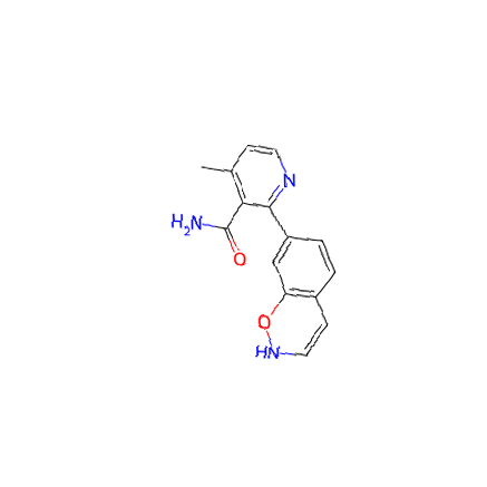 Cc1ccnc(-c2ccc3c(c2)ONC=C3)c1C(N)=O